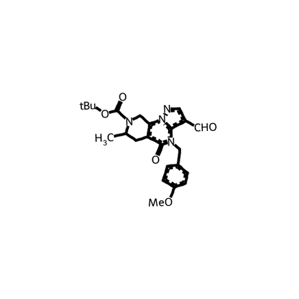 COc1ccc(Cn2c(=O)c3c(n4ncc(C=O)c24)CN(C(=O)OC(C)(C)C)C(C)C3)cc1